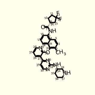 Cc1ccc2c(NC(=O)[C@@H]3CCC(F)(F)C3)cccc2c1Oc1ncccc1-c1ccnc(N[C@H]2CCCNC2)n1